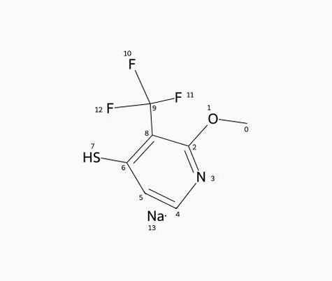 COc1nccc(S)c1C(F)(F)F.[Na]